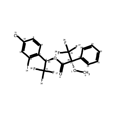 CO[C@@](C(=O)O[C@H](c1ccc(Cl)cc1I)C(F)(F)F)(c1ccccc1)C(F)(F)F